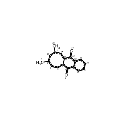 Cc1ccc2c(=O)c3ccccc3c(=O)c-2cc(C)c1